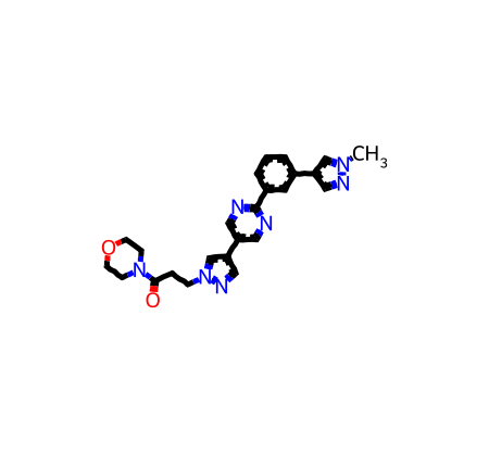 Cn1cc(-c2cccc(-c3ncc(-c4cnn(CCC(=O)N5CCOCC5)c4)cn3)c2)cn1